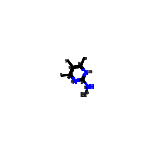 CCNc1nc(C)c(C)c(C)n1